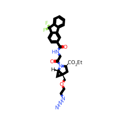 CCOC(=O)[C@@H]1C[C@]2(COCCN=[N+]=[N-])C[C@@H]2N1C(=O)CNC(=O)c1ccc2c(c1)-c1ccccc1C2(F)F